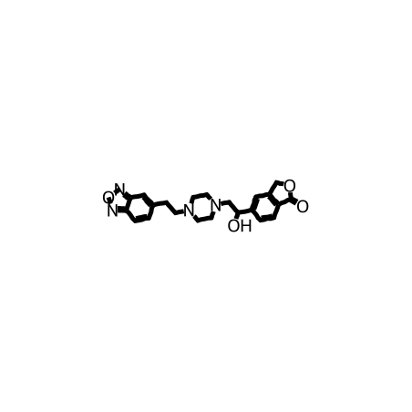 O=C1OCc2cc(C(O)CN3CCN(CCc4ccc5nonc5c4)CC3)ccc21